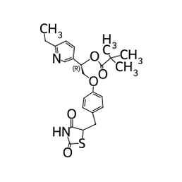 CCc1ccc([C@H](COc2ccc(CC3SC(=O)NC3=O)cc2)OC(=O)C(C)(C)C)cn1